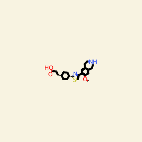 COc1cc2c(cc1-c1csc([C@H]3CC[C@H](CCC(=O)O)CC3)n1)CCNCC2